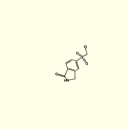 O=C1NCc2cc(S(=O)(=O)CCl)ccc21